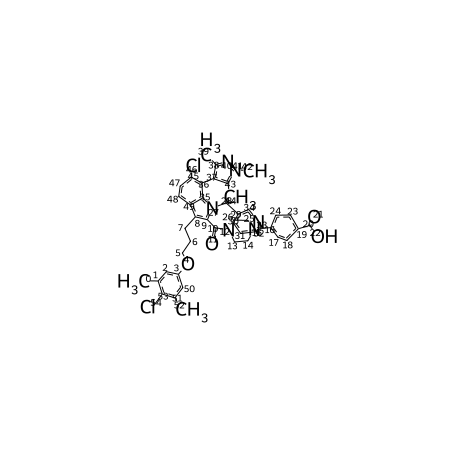 Cc1cc(OCCCc2c(C(=O)N3CCN(c4ccc(C(=O)O)cc4)CC3)n(Cc3cccnc3)c3c(-c4c(C)nn(C)c4C)c(Cl)ccc23)cc(C)c1Cl